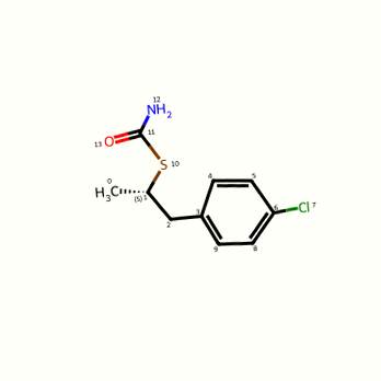 C[C@@H](Cc1ccc(Cl)cc1)SC(N)=O